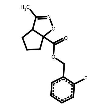 CC1=NOC2(C(=O)OCc3ccccc3F)CCCC12